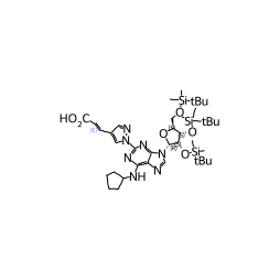 CC(C)(C)[Si](C)(C)OC[C@@H]1O[C@@H](n2cnc3c(NC4CCCC4)nc(-n4cc(/C=C/C(=O)O)cn4)nc32)[C@@H](O[Si](C)(C)C(C)(C)C)[C@H]1O[Si](C)(C)C(C)(C)C